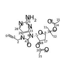 C#CCn1c(=O)n([C@@H]2O[C@H](C(C)(C)OC(C)=O)C[C@H]2OC(C)=O)c2nc(N)ncc21